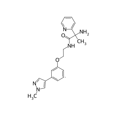 Cn1cc(-c2c[c]cc(OCCNC(=O)C(C)(N)c3ccccn3)c2)cn1